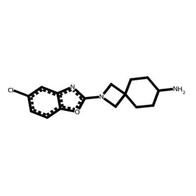 NC1CCC2(CC1)CN(c1nc3cc(Cl)ccc3o1)C2